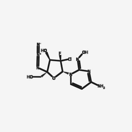 [N-]=[N+]=N[C@]1(CO)O[C@@H](n2ccc(N)n/c2=N\O)[C@@](F)(Cl)[C@@H]1O